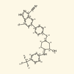 N#Cc1n[nH]c2c(F)cc(-c3ccc(SN4CCC(Nc5ccc(C(F)(F)F)cn5)C(O)C4)cc3)cc12